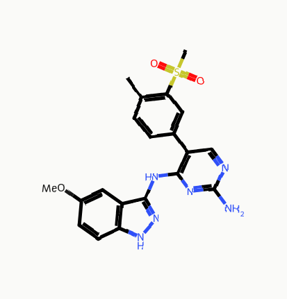 COc1ccc2[nH]nc(Nc3nc(N)ncc3-c3ccc(C)c(S(C)(=O)=O)c3)c2c1